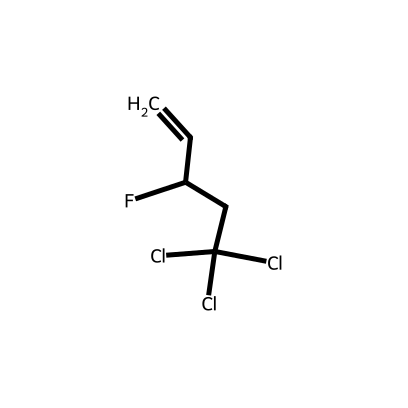 C=CC(F)CC(Cl)(Cl)Cl